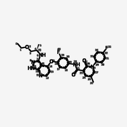 CCOC[C@H](C)Nc1n[nH]c2nccc(Oc3ccc(NC(=O)c4cc(C)cn(-c5ccc(F)cc5)c4=O)cc3F)c12